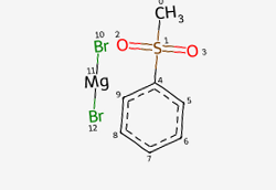 CS(=O)(=O)c1ccccc1.[Br][Mg][Br]